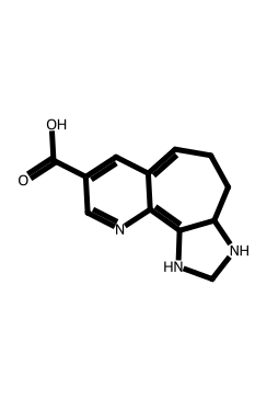 O=C(O)c1cnc2c(c1)=CCCC1NCNC=21